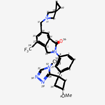 CO[C@H]1C[C@](c2cccc(N3Cc4c(cc(CN5CC6(CC6)C5)cc4C(F)(F)F)C3=O)c2)(c2nncn2C)C1